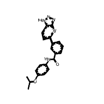 CC(C)Oc1ccc(NC(=O)c2cccc(-c3ccc4[nH]nnc4n3)c2)cc1